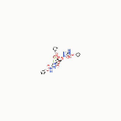 C[C@H](NC(=O)OCc1ccccc1)C(=O)NCOC[C@H]1O[C@@H](n2ccc(NC(=O)OCc3ccccc3)nc2=O)C(F)(F)[C@@H]1OC(=O)OCc1ccccc1